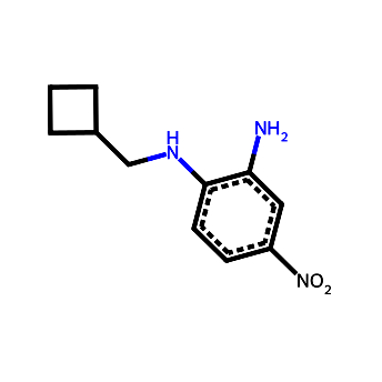 Nc1cc([N+](=O)[O-])ccc1NCC1CCC1